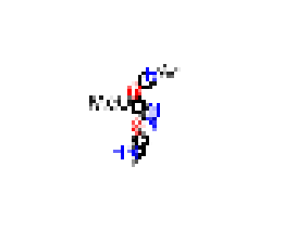 COc1cc2c(Oc3ccc4cc(C)[nH]c4c3)ncnc2cc1OC1CCN(CC(C)=O)CC1